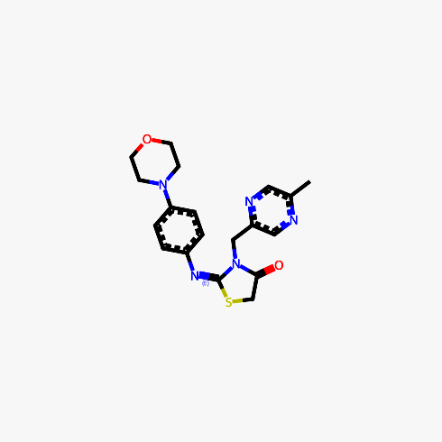 Cc1cnc(CN2C(=O)CS/C2=N/c2ccc(N3CCOCC3)cc2)cn1